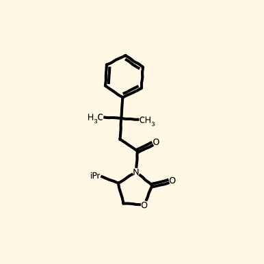 CC(C)C1COC(=O)N1C(=O)CC(C)(C)c1ccccc1